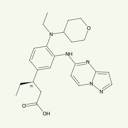 CC[C@H](CC(=O)O)c1ccc(N(CC)C2CCOCC2)c(Nc2ccn3nccc3n2)c1